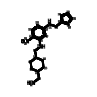 NCC1CCC(CNc2nc(NCc3cccs3)ncc2[N+](=O)[O-])CC1